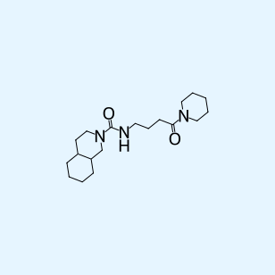 O=C(CCCNC(=O)N1CCC2CCCCC2C1)N1CCCCC1